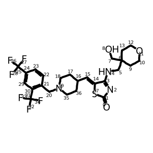 O=C1N=C(NCC2(CO)CCOCC2)C(=CC2CCN(Cc3ccc(C(F)(F)F)cc3C(F)(F)F)CC2)S1